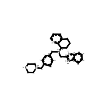 c1cnc2c(c1)CCCC2N(Cc1ccc(CN2CCSCC2)cc1)Cc1nc2ccccc2[nH]1